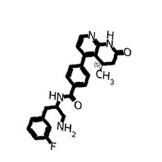 C[C@H]1CC(=O)Nc2nccc(-c3ccc(C(=O)NC(CN)Cc4cccc(F)c4)cc3)c21